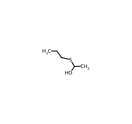 CC[CH]SC(C)O